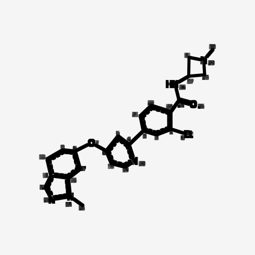 CCc1cc(-c2cc(Oc3ccc4cnn(C)c4c3)ccn2)ccc1C(=O)NC1CN(C)C1